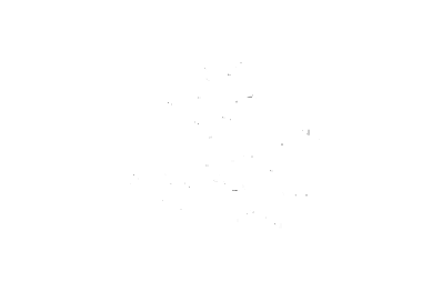 NCCCN[C@H]1[C@@H](OC2[C@@H](N)C[C@@H](NC(=O)C3(O)CC3N)[C@H](O[C@H]3O[C@H](CO)[C@@H](O)[C@H](N)[C@H]3O)[C@H]2O)O[C@H](CN)[C@@H](O)[C@@H]1O